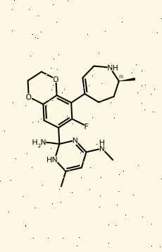 CNC1=NC(N)(c2cc3c(c(C4=CCN[C@@H](C)CC4)c2F)OCCO3)NC(C)=C1